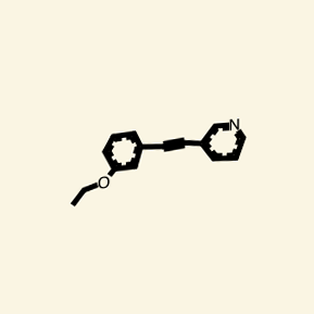 CCOc1cccc(C#Cc2cccnc2)c1